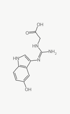 NC(=Nc1c[nH]c2ccc(O)cc12)NCC(=O)O